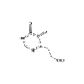 O=CCCn1n[c][nH]c(=O)c1=O